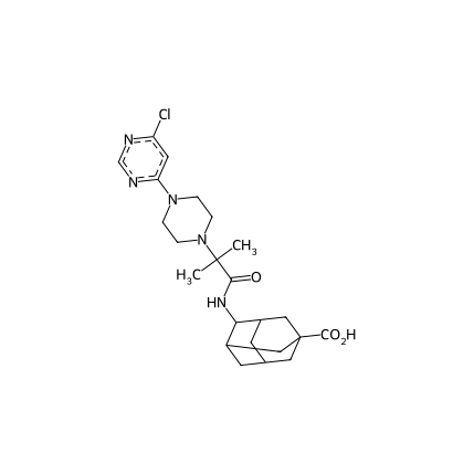 CC(C)(C(=O)NC1C2CC3CC1CC(C(=O)O)(C3)C2)N1CCN(c2cc(Cl)ncn2)CC1